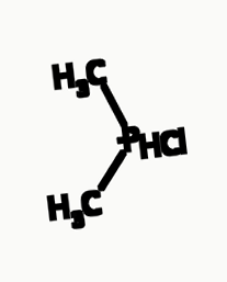 C[P]C.Cl